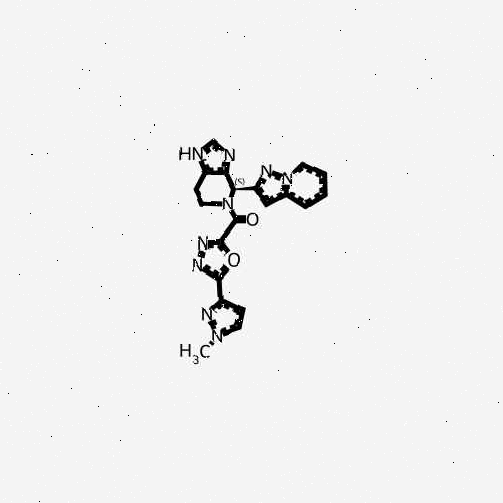 Cn1ccc(-c2nnc(C(=O)N3CCc4[nH]cnc4[C@H]3c3cc4ccccn4n3)o2)n1